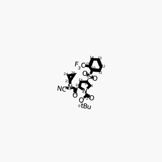 CC(C)(C)OC(=O)N1C[C@@H](S(=O)(=O)c2ccccc2C(F)(F)F)C[C@H]1C(=O)N(C#N)C1CC1